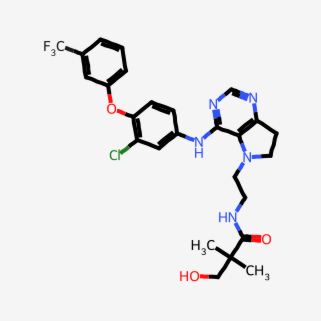 CC(C)(CO)C(=O)NCCN1CCc2ncnc(Nc3ccc(Oc4cccc(C(F)(F)F)c4)c(Cl)c3)c21